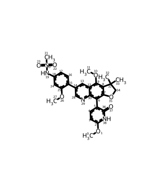 COc1ccc(-c2c3c(c(OC)c4cc(-c5ccc(NS(C)(=O)=O)cc5OC)cnc24)C(C)(C)CO3)c(=O)[nH]1